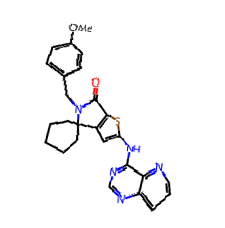 COc1ccc(CN2C(=O)c3sc(Nc4ncnc5cccnc45)cc3C23CCCCC3)cc1